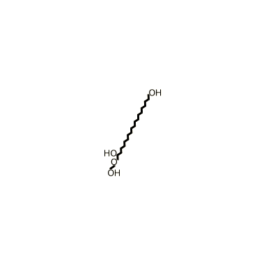 OCCCCCCCCCCCCCCCCCCC(O)COCCO